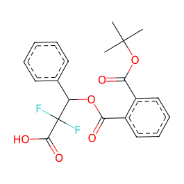 CC(C)(C)OC(=O)c1ccccc1C(=O)OC(c1ccccc1)C(F)(F)C(=O)O